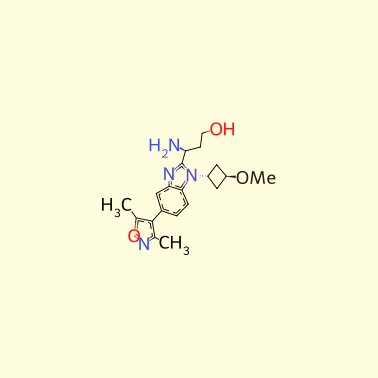 CO[C@H]1C[C@H](n2c([C@@H](N)CCO)nc3cc(-c4c(C)noc4C)ccc32)C1